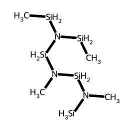 C[SiH2]N([SiH2]C)[SiH2]N(C)[SiH2]N(C)[SiH3]